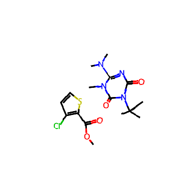 CN(C)c1nc(=O)n(C(C)(C)C)c(=O)n1C.COC(=O)c1sccc1Cl